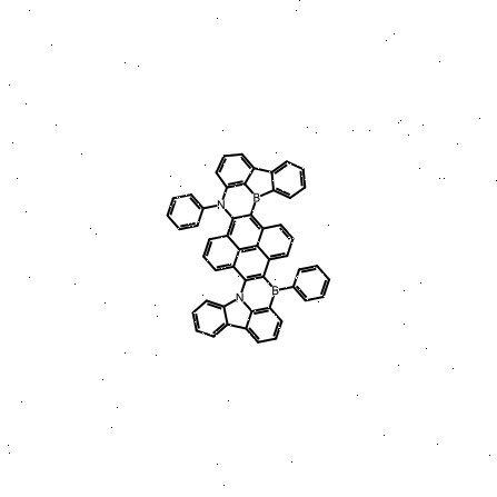 c1ccc(B2c3c(c4cccc5c6c(c7cccc3c7c54)B3c4ccccc4-c4cccc(c43)N6c3ccccc3)-n3c4ccccc4c4cccc2c43)cc1